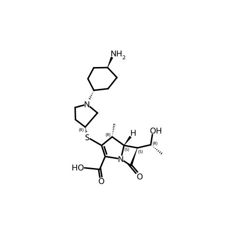 C[C@@H](O)[C@H]1C(=O)N2C(C(=O)O)=C(S[C@@H]3CCN([C@H]4CC[C@H](N)CC4)C3)[C@H](C)[C@H]12